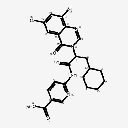 COC(=O)c1ccc(NC(=O)C(CC2CCCCC2)n2cnc3c(Cl)cc(Cl)cc3c2=O)nc1